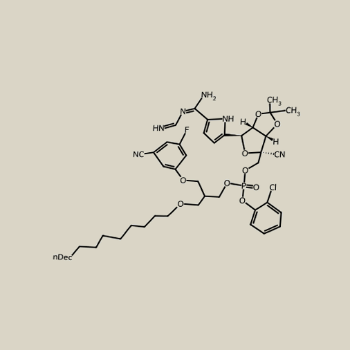 CCCCCCCCCCCCCCCCCCOCC(COc1cc(F)cc(C#N)c1)COP(=O)(OC[C@@]1(C#N)O[C@@H](c2ccc(/C(N)=N\C=N)[nH]2)[C@@H]2OC(C)(C)O[C@@H]21)Oc1ccccc1Cl